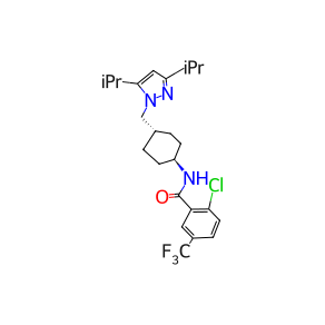 CC(C)c1cc(C(C)C)n(C[C@H]2CC[C@H](NC(=O)c3cc(C(F)(F)F)ccc3Cl)CC2)n1